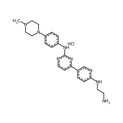 CN1CCN(c2ccc(Nc3nccc(-c4ccc(NCCN)nc4)n3)cc2)CC1.Cl